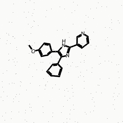 COc1ccc(-c2[nH]c(-c3cccnc3)nc2-c2ccccc2)cc1